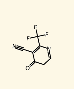 N#CC1=C(C(F)(F)F)N=CCC1=O